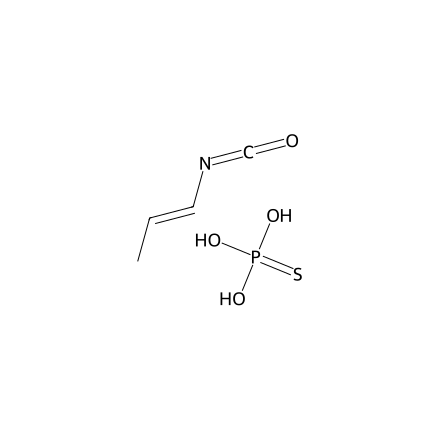 CC=CN=C=O.OP(O)(O)=S